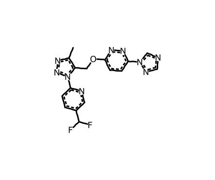 Cc1nnn(-c2ccc(C(F)F)cn2)c1COc1ccc(-n2cncn2)nn1